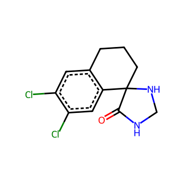 O=C1NCNC12CCCc1cc(Cl)c(Cl)cc12